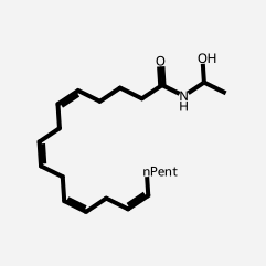 CCCCC/C=C\C/C=C\C/C=C\C/C=C\CCCC(=O)NC(C)O